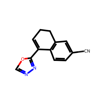 N#Cc1ccc2c(c1)CCC=C2c1nnco1